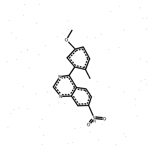 COc1ccc(C)c(-c2ncnc3cc([SH](=O)=O)ccc23)c1